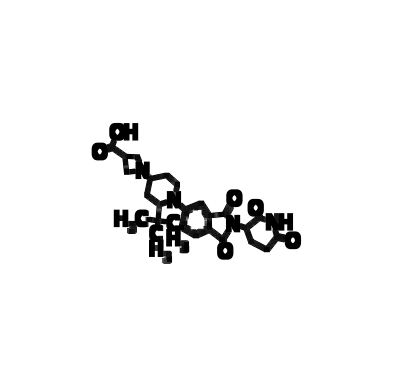 CC(C)(C)C1CC(N2CC(C(=O)O)C2)CCN1c1ccc2c(c1)C(=O)N(C1CCC(=O)NC1=O)C2=O